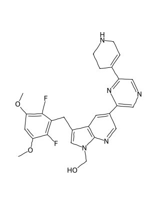 COc1cc(OC)c(F)c(Cc2cn(CO)c3ncc(-c4cncc(C5=CCNCC5)n4)cc23)c1F